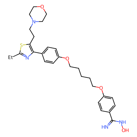 CCc1nc(-c2ccc(OCCCCCOc3ccc(C(=N)NO)cc3)cc2)c(CCN2CCOCC2)s1